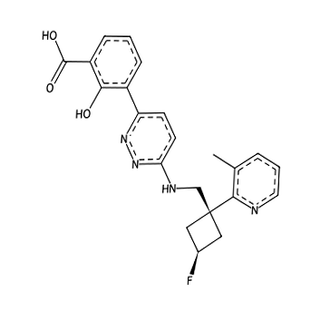 Cc1cccnc1[C@]1(CNc2ccc(-c3cccc(C(=O)O)c3O)nn2)C[C@@H](F)C1